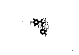 Cc1cc(C2CN(C)C(=O)C2C(=O)Nc2cccc(F)c2F)cc(C)c1F